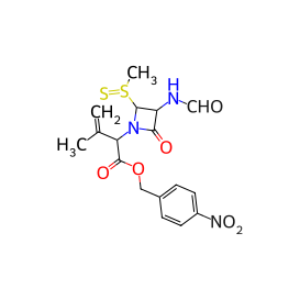 C=C(C)C(C(=O)OCc1ccc([N+](=O)[O-])cc1)N1C(=O)C(NC=O)C1S(C)=S